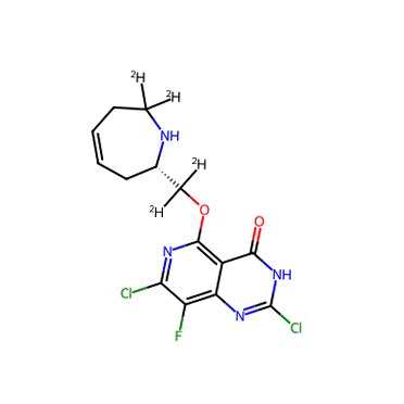 [2H]C1([2H])CC=CC[C@@H](C([2H])([2H])Oc2nc(Cl)c(F)c3nc(Cl)[nH]c(=O)c23)N1